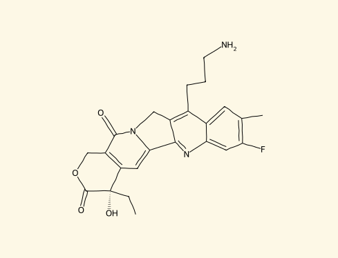 CC[C@@]1(O)C(=O)OCc2c1cc1n(c2=O)Cc2c-1nc1cc(F)c(C)cc1c2CCCN